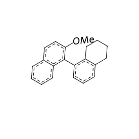 COc1ccc2ccccc2c1-c1cccc2c1CCCC2